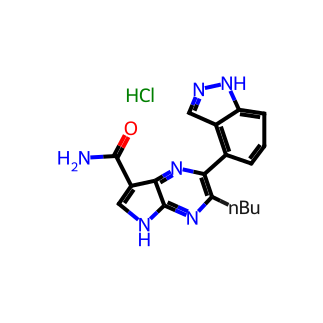 CCCCc1nc2[nH]cc(C(N)=O)c2nc1-c1cccc2[nH]ncc12.Cl